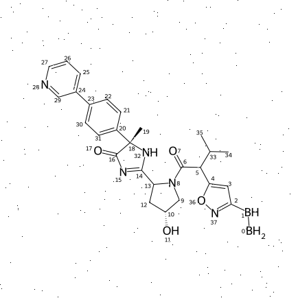 BBc1cc(C(C(=O)N2C[C@H](O)CC2C2=NC(=O)[C@](C)(c3ccc(-c4cccnc4)cc3)N2)C(C)C)on1